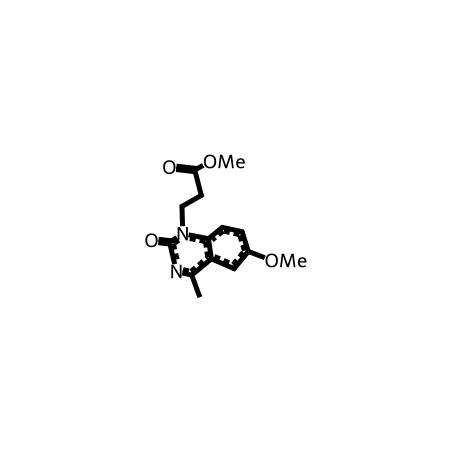 COC(=O)CCn1c(=O)nc(C)c2cc(OC)ccc21